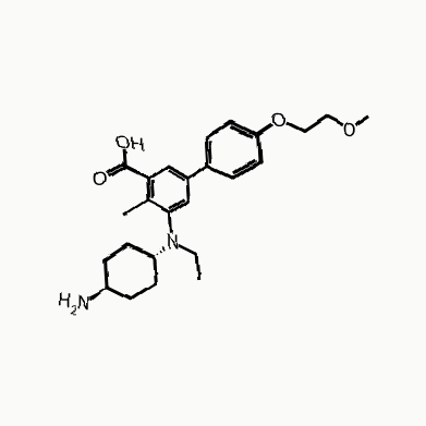 CCN(c1cc(-c2ccc(OCCOC)cc2)cc(C(=O)O)c1C)[C@H]1CC[C@H](N)CC1